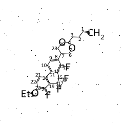 C=CCCC1OCC(c2ccc3c(c2F)C(F)C(F)c2c-3ccc(OCC)c2F)CO1